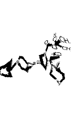 CC(C)(C)OC(=O)N1C[C@@H](N2CCN(c3ccncc3)CC2)C[C@H]1C(=O)N1CCSC1